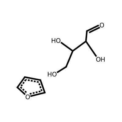 O=CC(O)C(O)CO.c1ccoc1